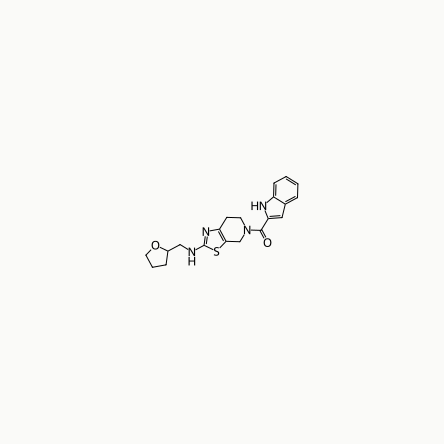 O=C(c1cc2ccccc2[nH]1)N1CCc2nc(NCC3CCCO3)sc2C1